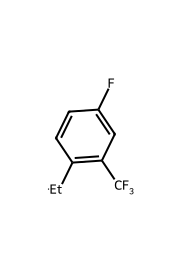 C[CH]c1ccc(F)cc1C(F)(F)F